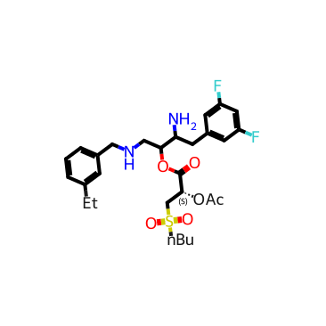 CCCCS(=O)(=O)C[C@@H](OC(C)=O)C(=O)OC(CNCc1cccc(CC)c1)C(N)Cc1cc(F)cc(F)c1